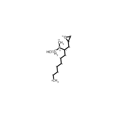 CCCCCCCC(CC1CO1)N(C)C.Cl